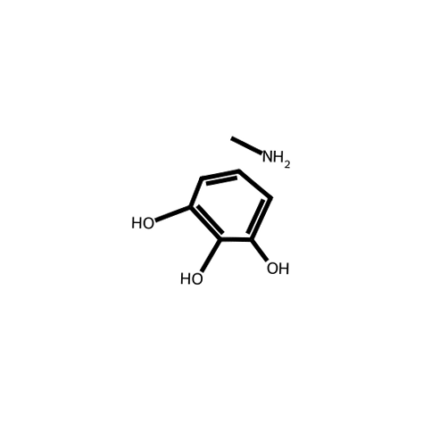 CN.Oc1cccc(O)c1O